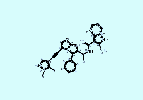 Cc1c(C#Cc2csc3nc(C(C)NC(=O)c4c(N)nn5cccnc45)c(-c4ccccc4)n23)cnn1C